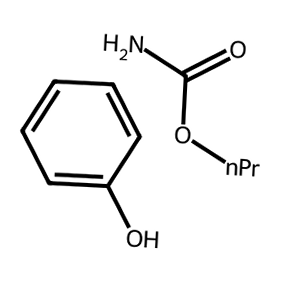 CCCOC(N)=O.Oc1ccccc1